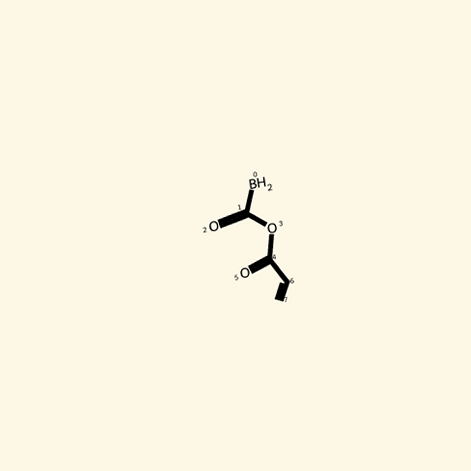 BC(=O)OC(=O)C=C